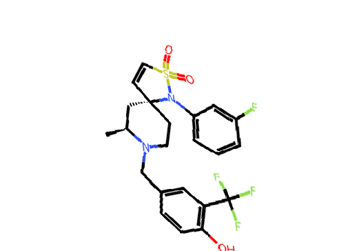 C[C@H]1C[C@@]2(C=CS(=O)(=O)N2c2cccc(F)c2)CCN1Cc1ccc(O)c(C(F)(F)F)c1